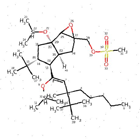 CCCCCC(C)(C=C(O[SiH](C)C)[C@H]1[C@H](C(C)(C)C)C[C@@]2(O[SiH](C)C)C3OC3(COS(C)(=O)=O)C[C@@H]12)C(C)(C)C